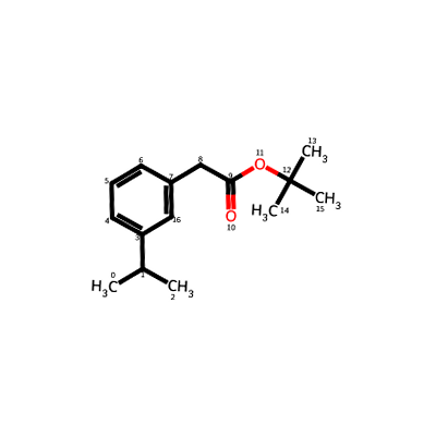 CC(C)c1cccc(CC(=O)OC(C)(C)C)c1